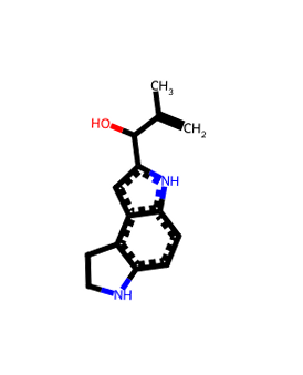 C=C(C)C(O)c1cc2c3c(ccc2[nH]1)NCC3